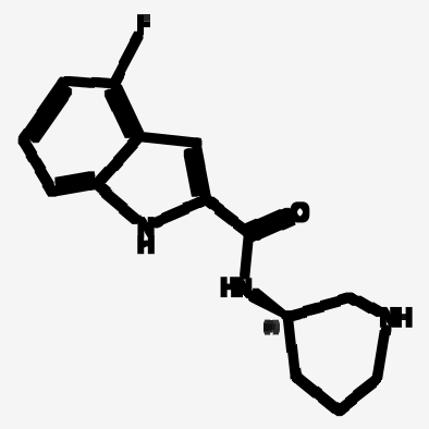 O=C(N[C@@H]1CCCNC1)c1cc2c(F)cccc2[nH]1